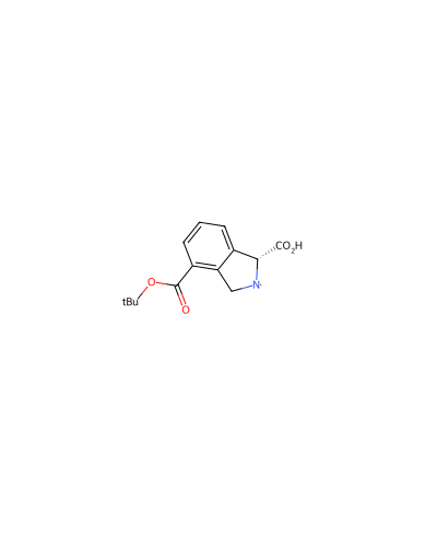 CC(C)(C)OC(=O)c1cccc2c1C[N][C@H]2C(=O)O